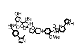 COc1cc(N2CCC3(CC[C@H](C(=O)N[C@H](C(=O)N4C[C@H](O)C[C@H]4C(=O)N[C@@H](C)c4ccc(-c5scnc5C)cc4)C(C)(C)C)O3)CC2)ccc1NC(=O)c1cccc(-c2ccn[nH]2)n1